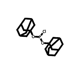 ClP(OC12CC3CC(CC(C3)C1)C2)OC12CC3CC(CC(C3)C1)C2